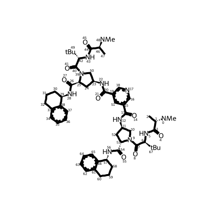 CN[C@@H](C)C(=O)N[C@H](C(=O)N1C[C@H](NC(=O)c2cncc(C(=O)N[C@H]3C[C@@H](C(=O)N[C@@H]4CCCc5ccccc54)N(C(=O)[C@@H](NC(=O)[C@H](C)NC)C(C)(C)C)C3)c2)C[C@H]1C(=O)N[C@@H]1CCCc2ccccc21)C(C)(C)C